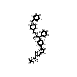 CC(C)(C)OC(=O)NCc1ccc(-c2ccc(C(C(=O)OCC3CCN(Cc4ccccc4)CC3)c3ccccc3)cc2)s1